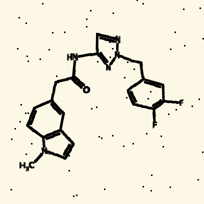 Cn1ccc2cc(CC(=O)Nc3cnn(Cc4ccc(F)c(F)c4)n3)ccc21